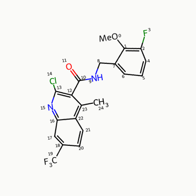 COc1c(F)cccc1CNC(=O)c1c(Cl)nc2cc(C(F)(F)F)ccc2c1C